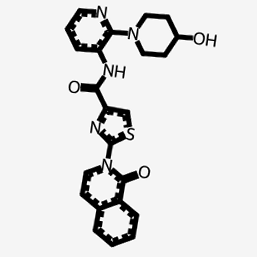 O=C(Nc1cccnc1N1CCC(O)CC1)c1csc(-n2ccc3ccccc3c2=O)n1